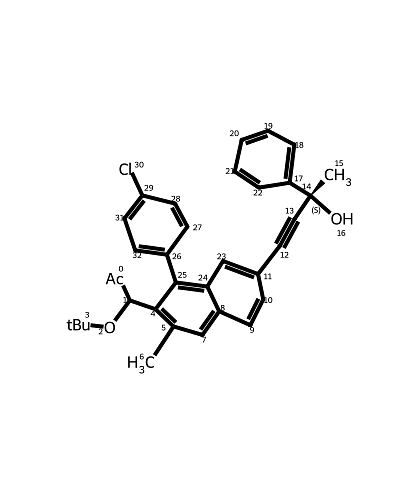 CC(=O)C(OC(C)(C)C)c1c(C)cc2ccc(C#C[C@@](C)(O)c3ccccc3)cc2c1-c1ccc(Cl)cc1